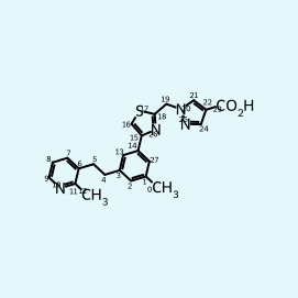 Cc1cc(CCc2cccnc2C)cc(-c2csc(Cn3cc(C(=O)O)cn3)n2)c1